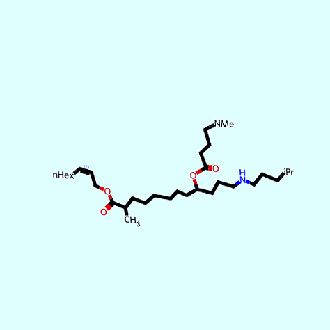 CCCCCC/C=C\COC(=O)C(C)CCCCCCC(CCCNCCCC(C)C)OC(=O)CCCNC